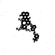 C#Cc1c(F)ccc2cccc(-c3nc4c5c(nc(OC[C@@]67CCCN6[C@H](COc6cc(C(F)(F)F)ncn6)CC7)nc5c3F)N3C[C@@H](C)N[C@@H](CC)[C@H]3CC[C@H]4C)c12